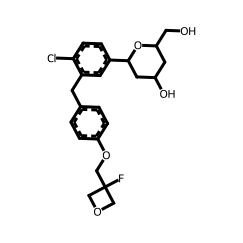 OCC1CC(O)CC(c2ccc(Cl)c(Cc3ccc(OCC4(F)COC4)cc3)c2)O1